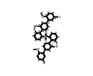 COc1ccc(F)cc1-c1ccc(-c2c(F)cccc2S(=O)(=O)c2cccc(F)c2-c2ccc(-c3cc(F)ccc3OC)cc2F)c(F)c1